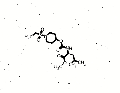 CCS(=O)(=O)N1CCC(OC(=O)N[C@@H](CC(C)C)C(=O)OC)CC1